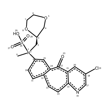 C[N+](C[C@@H]1COCCO1)(c1ccc2ccc3ncc(Cl)cc3c(=O)c2c1)S(=O)(=O)O